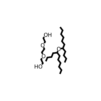 CCCCCCC(CCCC)OC(CCCC)CCCCCC.OCCOCCOCCO